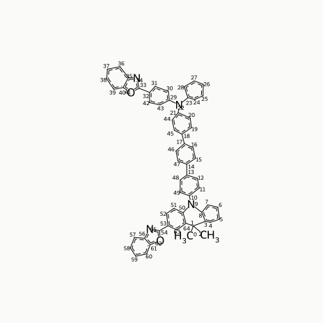 CC1(C)c2ccccc2N(c2ccc(-c3ccc(-c4ccc(N(c5ccccc5)c5ccc(-c6nc7ccccc7o6)cc5)cc4)cc3)cc2)c2ccc(-c3nc4ccccc4o3)cc21